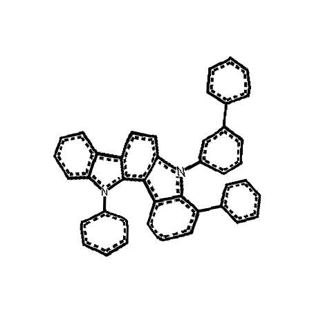 c1ccc(-c2cccc(-n3c4ccc5c6ccccc6n(-c6ccccc6)c5c4c4cccc(-c5ccccc5)c43)c2)cc1